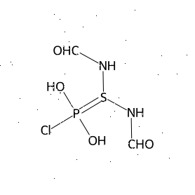 O=CNS(NC=O)=P(O)(O)Cl